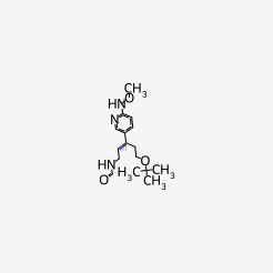 CONc1ccc(/C(=C/CNC=O)CCOC(C)(C)C)cn1